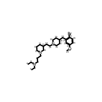 CCN(CC)CCCN1CCCC(CCN2CCC(Cc3cc(OC)ccc3Br)CC2)C1